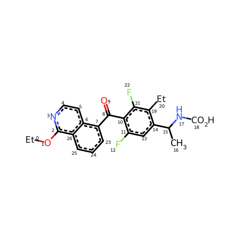 CCOc1nccc2c(C(=O)c3c(F)cc(C(C)NC(=O)O)c(CC)c3F)cccc12